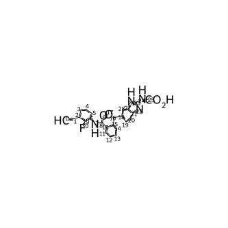 C#Cc1cccc(NC(=O)c2ccccc2C(=O)c2ccc3nc(NC(=O)O)[nH]c3c2)c1F